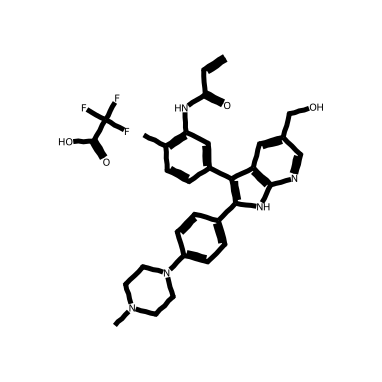 C=CC(=O)Nc1cc(-c2c(-c3ccc(N4CCN(C)CC4)cc3)[nH]c3ncc(CO)cc23)ccc1C.O=C(O)C(F)(F)F